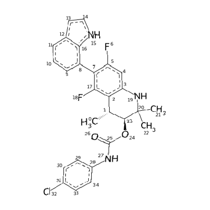 C[C@@H]1c2c(cc(F)c(-c3cccc4cc[nH]c34)c2F)NC(C)(C)[C@H]1OC(=O)Nc1ccc(Cl)cc1